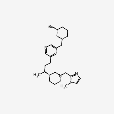 CCC(C)[C@H]1CCCN(Cc2cncc(CCC(C)[C@@H]3CCCN(Cc4nccn4C)C3)c2)C1